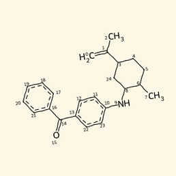 C=C(C)C1CCC(C)C(Nc2ccc(C(=O)c3ccccc3)cc2)C1